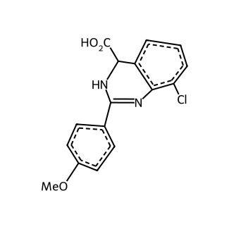 COc1ccc(C2=Nc3c(Cl)cccc3C(C(=O)O)N2)cc1